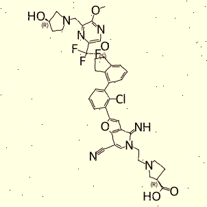 COc1nc(O[C@H]2CCc3c(-c4cccc(-c5cc6c(=N)n(CCN7CC[C@@H](C(=O)O)C7)cc(C#N)c6o5)c4Cl)cccc32)c(C(F)(F)F)nc1CN1CC[C@@H](O)C1